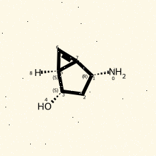 N[C@@H]1C[C@H](O)[C@H]2C=C12